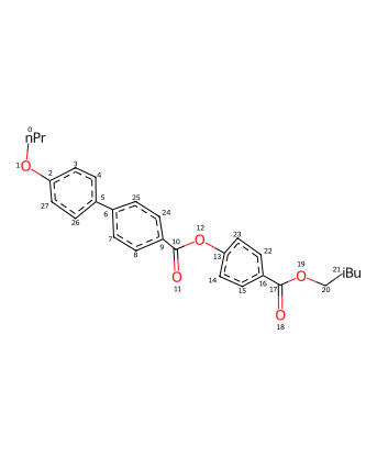 CCCOc1ccc(-c2ccc(C(=O)Oc3ccc(C(=O)OCC(C)CC)cc3)cc2)cc1